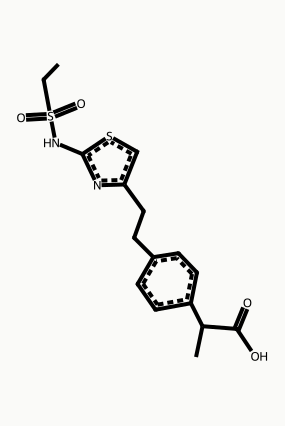 CCS(=O)(=O)Nc1nc(CCc2ccc(C(C)C(=O)O)cc2)cs1